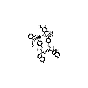 CCCOc1ccccc1NS(=O)(=O)c1ccc(CNC(=O)n2ccc3cnccc32)cc1.COc1cc(Cl)c(C)cc1NS(=O)(=O)c1ccc(CNC(=O)c2cc3cnccc3[nH]2)cc1